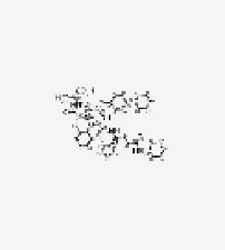 C[C@H](NC(=O)[C@@H](Cc1ccccc1)NC(=O)[C@H](Cc1ccc(-c2ccccc2)cc1)NC(=O)[C@@H](Cc1ccco1)NC(=O)CCC(=O)Nc1ccccc1)C(=O)O